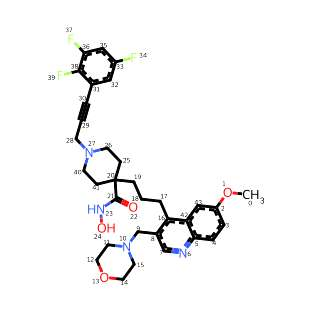 COc1ccc2ncc(CN3CCOCC3)c(CCCC3(C(=O)NO)CCN(CC#Cc4cc(F)cc(F)c4F)CC3)c2c1